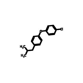 CC(C)Cc1ccc(Oc2ccc(Cl)cc2)cc1